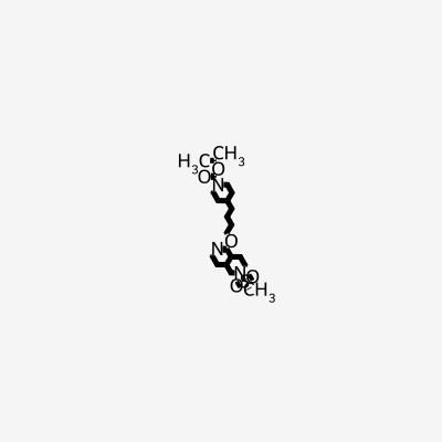 CC(C)OC(=O)N1CCC(CCCCOC2=NCCC3CN(S(C)(=O)=O)CCC23)CC1